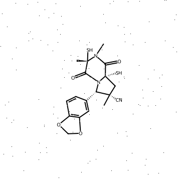 CN1C(=O)[C@@]2(S)C[C@](C)(C#N)[C@H](c3ccc4c(c3)OCO4)N2C(=O)[C@]1(C)S